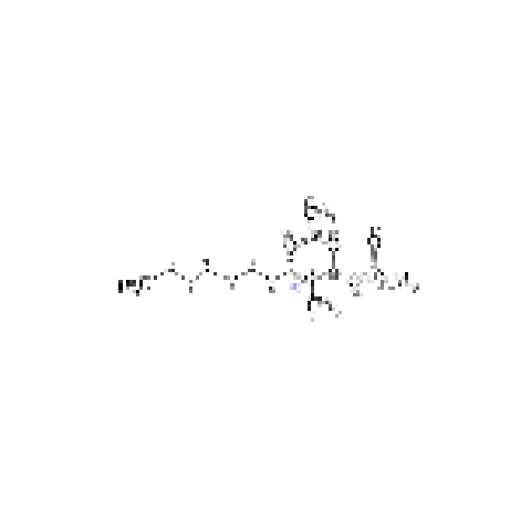 CCCCCCC/C=C(\C)C(OC(C)=O)OC(C)=O